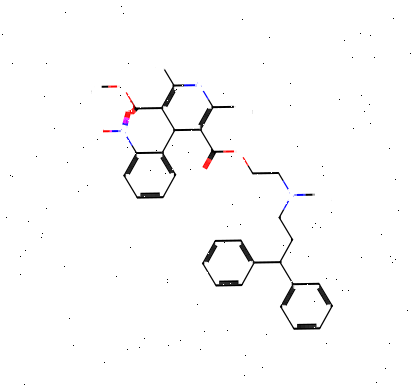 COC(=O)C1=C(C)NC(C)=C(C(=O)OCCN(C)CCC(c2ccccc2)c2ccccc2)C1c1ccccc1[N+](=O)[O-]